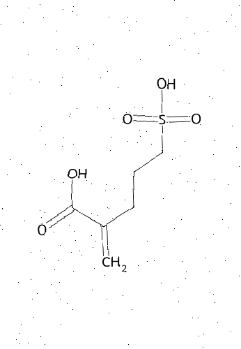 C=C(CCCS(=O)(=O)O)C(=O)O